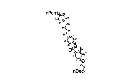 CCCCCCCCCCCCOc1ccc(C(=O)Oc2ccc(CCCC[C@H]3CC[C@H](CCCCC)CC3)cc2)c(F)c1F